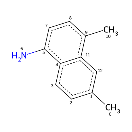 Cc1ccc2c(N)ccc(C)c2c1